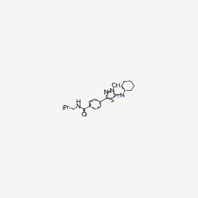 CC(C)CNC(=O)c1ccc(-c2nn(C)/c(=N\C3CCCCC3)s2)cc1